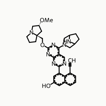 C#Cc1cccc2cc(O)cc(-c3ncc4c(N5CC6CCC(C5)N6)nc(OC[C@@]56CCCN5C[C@H](OC)C6)nc4n3)c12